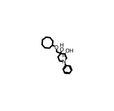 O[C@@H]1CN(c2ccccc2)CCC1(O)COC1CCCCCCC1